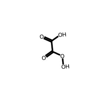 O=C(O)C(=O)OO